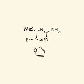 CSc1nc(N)nc(-c2ccco2)c1Br